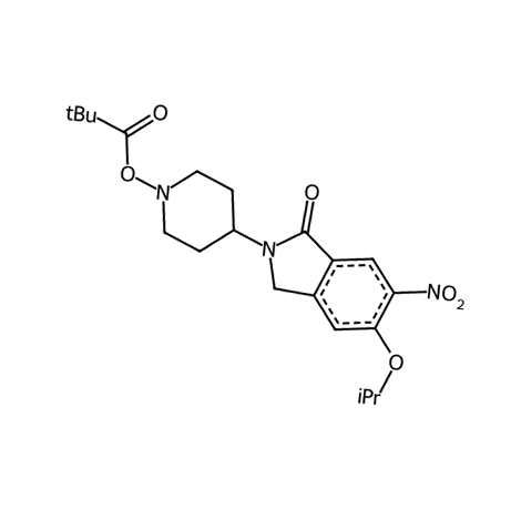 CC(C)Oc1cc2c(cc1[N+](=O)[O-])C(=O)N(C1CCN(OC(=O)C(C)(C)C)CC1)C2